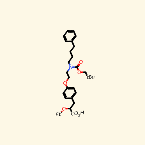 CCOC(Cc1ccc(OCCN(CCCCc2ccccc2)C(=O)OCC(C)(C)C)cc1)C(=O)O